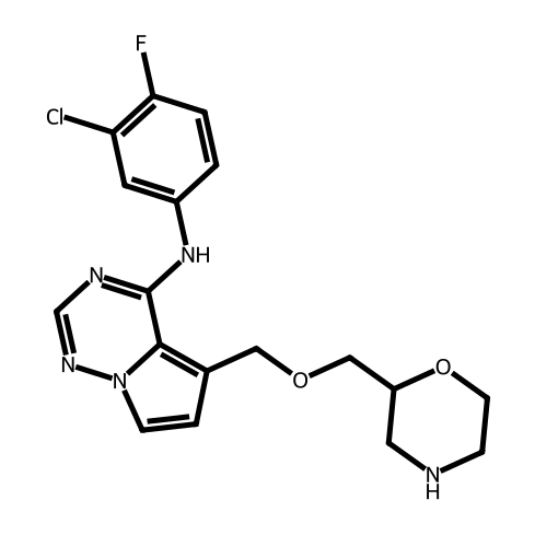 Fc1ccc(Nc2ncnn3ccc(COCC4CNCCO4)c23)cc1Cl